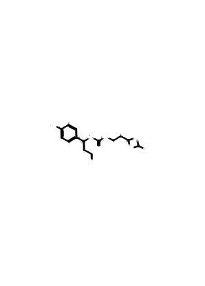 CC1OC(CCNC(=S)NC(CCO)c2ccc(F)cc2)O1